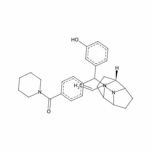 C=CCN1C2CCC1[C@H]1CCC2N1C(c1ccc(C(=O)N2CCCCC2)cc1)c1cccc(O)c1